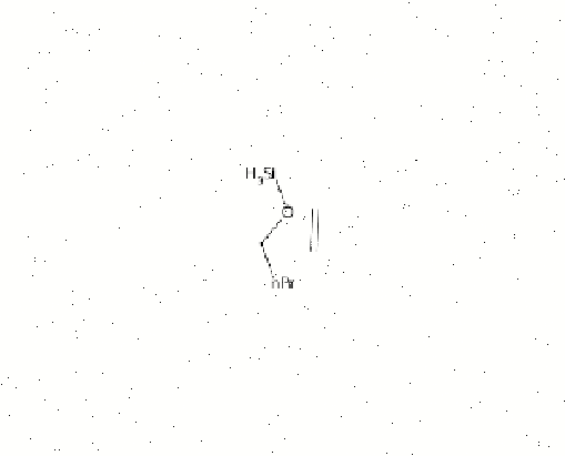 C=C.CCCCO[SiH3]